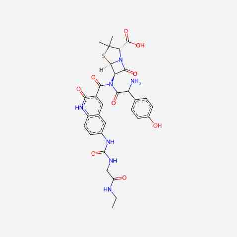 CCNC(=O)CNC(=O)Nc1ccc2[nH]c(=O)c(C(=O)N(C(=O)C(N)c3ccc(O)cc3)[C@@H]3C(=O)N4[C@@H]3SC(C)(C)[C@@H]4C(=O)O)cc2c1